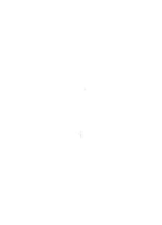 CCCC1(CCc2ccccc2)CC(O)=C(/C(=C/c2ccccc2)c2ccccc2)C(=O)O1